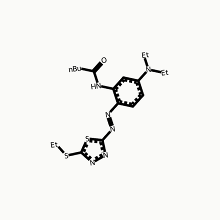 CCCCC(=O)Nc1cc(N(CC)CC)ccc1/N=N/c1nnc(SCC)s1